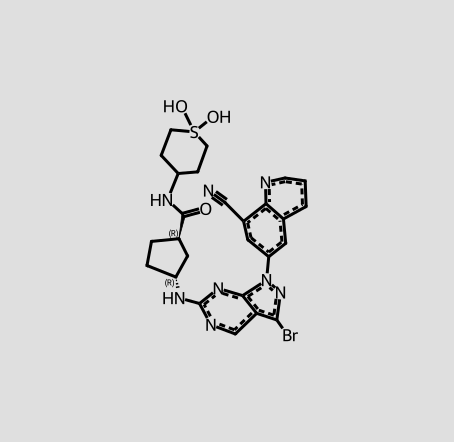 N#Cc1cc(-n2nc(Br)c3cnc(N[C@@H]4CC[C@@H](C(=O)NC5CCS(O)(O)CC5)C4)nc32)cc2cccnc12